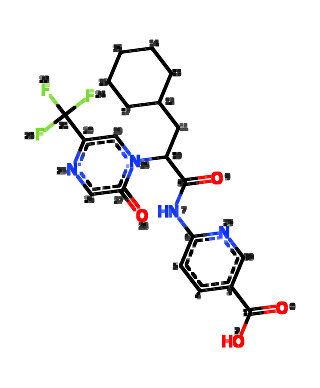 O=C(O)c1ccc(NC(=O)C(CC2CCCCC2)n2cc(C(F)(F)F)ncc2=O)nc1